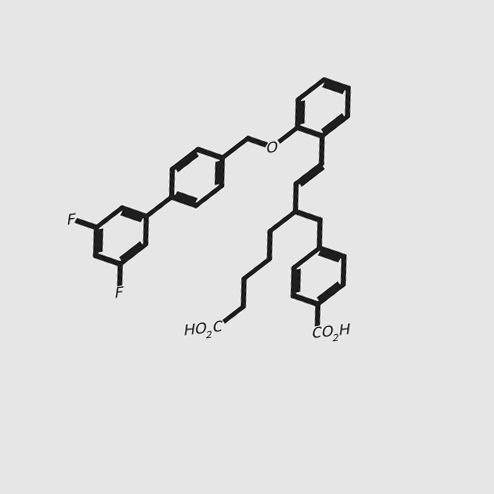 O=C(O)CCCCC(/C=C/c1ccccc1OCc1ccc(-c2cc(F)cc(F)c2)cc1)Cc1ccc(C(=O)O)cc1